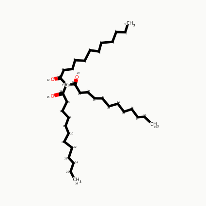 CCCCCCCCCCC[C](=O)[Ru]([C](=O)CCCCCCCCCCC)[C](=O)CCCCCCCCCCC